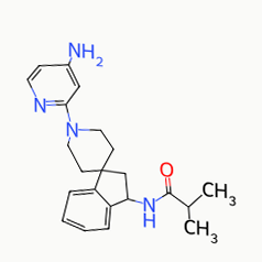 CC(C)C(=O)NC1CC2(CCN(c3cc(N)ccn3)CC2)c2ccccc21